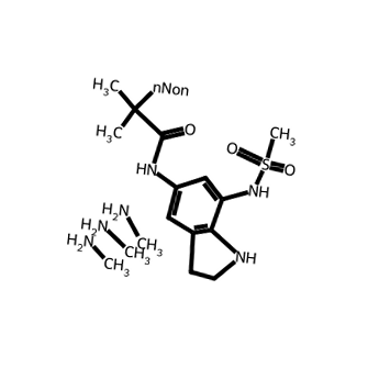 CCCCCCCCCC(C)(C)C(=O)Nc1cc2c(c(NS(C)(=O)=O)c1)NCC2.CN.CN.CN